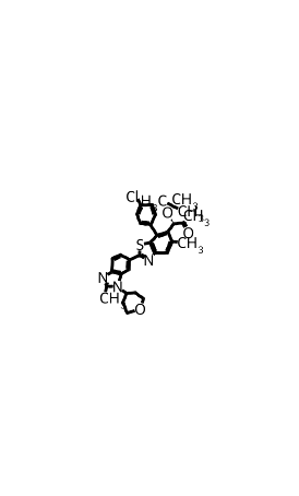 CC(=O)[C@@H](OC(C)(C)C)c1c(C)cc2nc(-c3ccc4nc(C)n(C5CCOCC5)c4c3)sc2c1-c1ccc(Cl)cc1